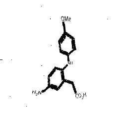 COc1ccc(Nc2ccc(N)cc2CC(=O)O)cc1